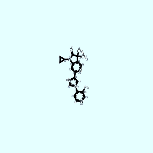 CC1(C)C(=O)N(C2CC2)c2cc(-c3cn(-c4ccncc4F)cn3)ncc21